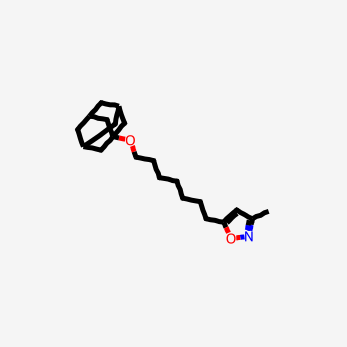 Cc1cc(CCCCCCCOC23CC4CC(CC(C4)C2)C3)on1